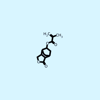 C=C(C)C(=O)OC1CC2CCC1C1COC(=O)C21